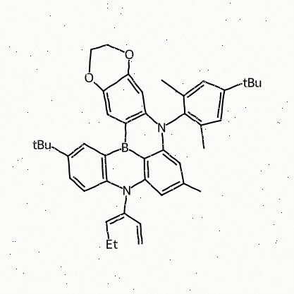 C=C/C(=C\CC)N1c2ccc(C(C)(C)C)cc2B2c3cc4c(cc3N(c3c(C)cc(C(C)(C)C)cc3C)c3cc(C)cc1c32)OCCO4